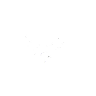 COc1ccc(COc2cc(C=O)cc(F)c2N2CC(=O)NS2(=O)=O)cc1